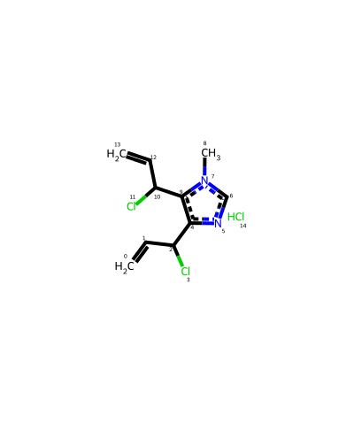 C=CC(Cl)c1ncn(C)c1C(Cl)C=C.Cl